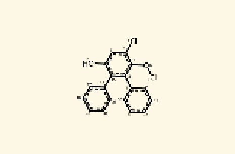 Oc1cc(Cl)c(OCl)c(-c2ccccc2)c1-c1ccccc1